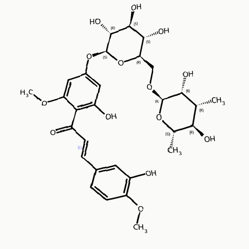 COc1ccc(/C=C/C(=O)c2c(O)cc(O[C@@H]3O[C@H](CO[C@@H]4O[C@@H](C)[C@H](O)[C@@H](C)[C@H]4O)[C@@H](O)[C@H](O)[C@H]3O)cc2OC)cc1O